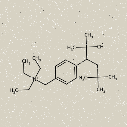 CC[N+](CC)(CC)Cc1ccc(C(CC(C)(C)C)C(C)(C)C)cc1